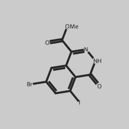 COC(=O)c1n[nH]c(=O)c2c(I)cc(Br)cc12